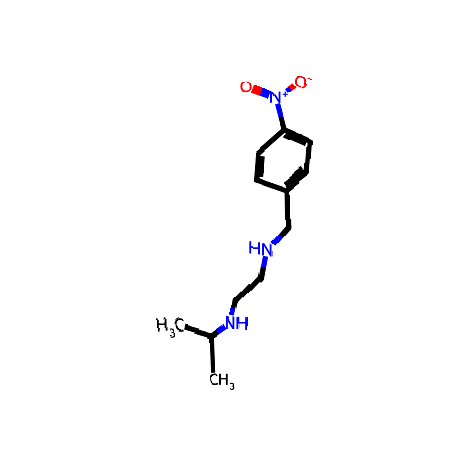 CC(C)NCCNCc1ccc([N+](=O)[O-])cc1